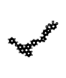 O=C1CCC(N2Cc3cc(-c4cnn(CCC5CCN(c6ccc(C7c8ccc(OCc9ccccc9)cc8CCC7c7ccccc7)cc6)CC5)c4)ccc3C2=O)C(=O)N1